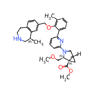 COC[C@H]1N(c2cccc(-c3cccc(C)c3OCc3ccc4c(c3)[C@@H](C)CNCC4)n2)C[C@@H]2C[C@@]21C(=O)OC